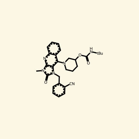 Cn1c(=O)n(Cc2ccccc2C#N)c2c(N3CCCC(OC(=O)NC(C)(C)C)C3)c3ccccc3nc21